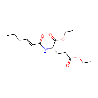 CCC/C=C/C(=O)N[C@@H](CCC(=O)OCC)C(=O)OCC